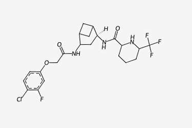 O=C(COc1ccc(Cl)c(F)c1)NC1C[C@H](NC(=O)C2CCCC(C(F)(F)F)N2)C2CC1C2